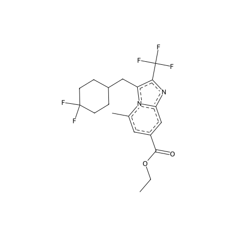 CCOC(=O)c1cc(C)n2c(CC3CCC(F)(F)CC3)c(C(F)(F)F)nc2c1